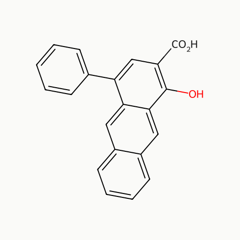 O=C(O)c1cc(-c2ccccc2)c2cc3ccccc3cc2c1O